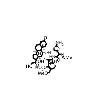 COCC1=C(C(=O)O)N2C(=O)[C@@H](NC(=O)/C(=N\OC)c3csc(N)n3)[C@H]2SC1.C[C@]12CCC(=O)C=C1CC[C@@H]1[C@@H]2[C@@H](O)C[C@@]2(C)[C@H]1CC[C@]2(O)C(=O)CO